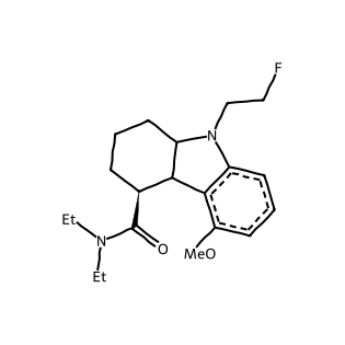 CCN(CC)C(=O)[C@H]1CCCC2C1c1c(OC)cccc1N2CCF